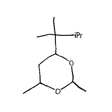 CC1CC(C(C)(C)C(C)C)OC(C)O1